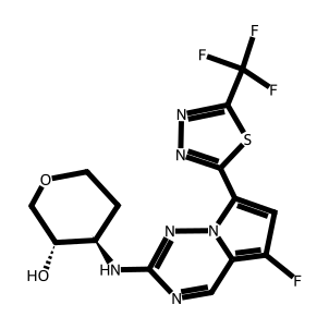 O[C@@H]1COCC[C@H]1Nc1ncc2c(F)cc(-c3nnc(C(F)(F)F)s3)n2n1